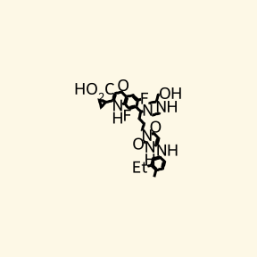 CCc1cc(Nc2cc(=O)n(CCCC(c3c(F)cc4c(=O)c(C(=O)O)c(C5CC5)[nH]c4c3F)N3CCNC(CO)C3)c(=O)[nH]2)ccc1C